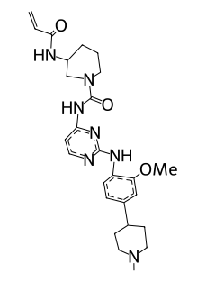 C=CC(=O)NC1CCCN(C(=O)Nc2ccnc(Nc3ccc(C4CCN(C)CC4)cc3OC)n2)C1